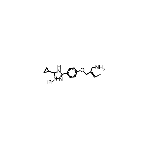 CC(C)N1N=C(c2ccc(OC/C(=C/F)CN)cc2)NC1C1CC1